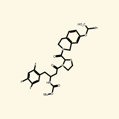 CC(C)C(Oc1ccc2c(c1)CN(C(=O)C1SCCN1C(=O)CC(Cc1cc(F)c(F)cc1F)NC(=O)OC(C)(C)C)CC2)C(=O)O